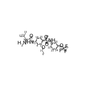 CCOc1cc(NC(=O)[C@@H](N)C(C)C)ccc1S(=O)(=O)Nc1cccc(OC(F)(F)F)c1